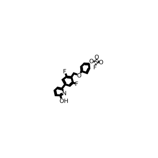 O=S(=O)(F)Oc1ccc(OCc2c(F)cc(-c3cccc(O)n3)cc2F)cc1